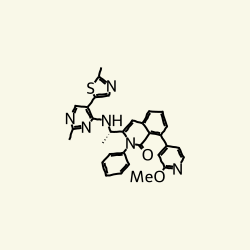 COc1cc(-c2cccc3cc([C@H](C)Nc4nc(C)ncc4-c4cnc(C)s4)n(-c4ccccc4)c(=O)c23)ccn1